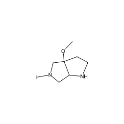 COC12CCNC1CN(I)C2